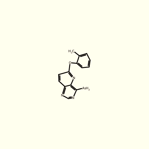 Cc1ccccc1Oc1ccc2ncnc([AsH2])c2n1